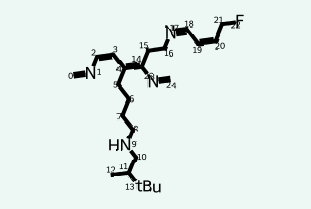 C=N/C=C\C(CCCCNCC(C)C(C)(C)C)=C(/CC/N=C\C=C/CF)N=C